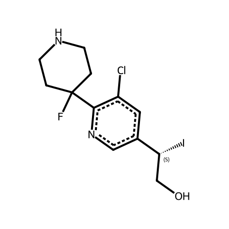 OC[C@@H](I)c1cnc(C2(F)CCNCC2)c(Cl)c1